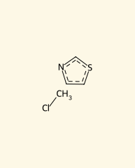 CCl.c1cscn1